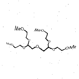 COCCOC(COCC(OCCOC)OCCOC)OCCOC